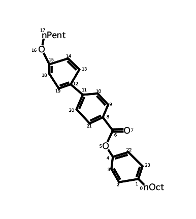 CCCCCCCCc1ccc(OC(=O)c2ccc(-c3ccc(OCCCCC)cc3)cc2)cc1